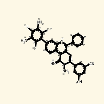 N#Cc1cc(C#N)cc(C2=Cc3c(-c4ccccc4)nc4cc(-c5c(F)c(N)c(F)c(N)c5F)ccc4c3C(=N)C2N)c1